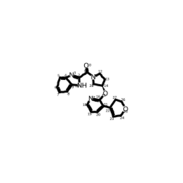 O=C(c1nc2ccccc2[nH]1)N1CC[C@@H](Oc2ncccc2C2=CCOCC2)C1